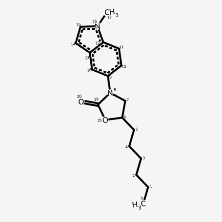 CCCCCCC1CN(c2ccc3c(ccn3C)c2)C(=O)O1